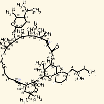 CC[C@@H](O)C[C@H]1CCC[C@@]2(C[C@@H]3OC(=O)/C=C/[C@@](C)(O)[C@@H](O)[C@H](C)[C@@H](O)[C@H](OC4CCC(N(C)C)C(C)O4)[C@@H](O)[C@](C)(O)CCCCC/C=C/[C@@H]4CC(C)(C)O[C@@]4(O)C[C@H](O2)[C@H]3C)O1